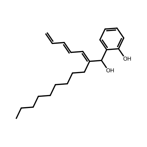 C=CC=CC=C(CCCCCCCCC)C(O)c1ccccc1O